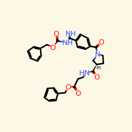 N=C(NC(=O)OCc1ccccc1)c1ccc(C(=O)N2CC[C@@H](C(=O)NCCC(=O)OCc3ccccc3)C2)cc1